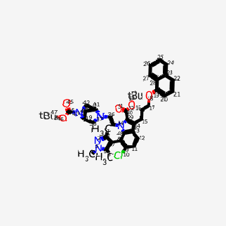 Cc1nn(C)c(C)c1-c1c(Cl)ccc2c(CCCOc3cccc4ccccc34)c(C(=O)OC(C)(C)C)n(CCN3CC4CC3CN4C(=O)OC(C)(C)C)c12